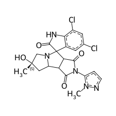 Cn1nccc1N1C(=O)C2C3C[C@](C)(O)CN3C3(C(=O)Nc4c(Cl)cc(Cl)cc43)C2C1=O